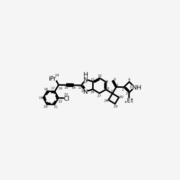 C=C(C1=C(CC)NC1)C1(C2=CC=C3NC(C#CC(c4ccccc4Cl)C(C)C)=NC3C2)CCC1